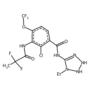 CCN1NNN=C1NC(=O)c1ccc(OC(F)(F)F)c(NC(=O)C(C)(F)F)c1Cl